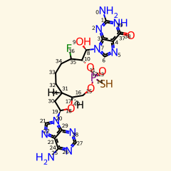 Nc1nc2c(ncn2[C@H](O)[C@@H]2OP(=O)(S)OC[C@H]3O[C@@H](n4cnc5c(N)ncnc54)C[C@@H]3CCCC2F)c(=O)[nH]1